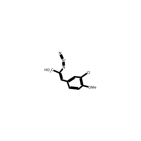 COc1ccc(C=C(N=[N+]=[N-])C(=O)O)cc1Cl